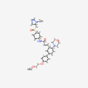 CCCCOCCOc1ccc(-c2ccc(N3CCOCC3)c(C=CC(=O)Nc3ccc([S+]([O-])Cc4cncn4CCC)cc3)c2)cc1